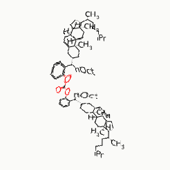 CCCCCCCCC(c1ccccc1OC(=O)Oc1ccccc1C(CCCCCCCC)[C@H]1CC[C@@]2(C)C(=CC[C@H]3[C@@H]4CC[C@H]([C@H](C)CCCC(C)C)[C@@]4(C)CC[C@@H]32)C1)[C@H]1CC[C@@]2(C)C(=CC[C@H]3[C@@H]4CC[C@H]([C@H](C)CCCC(C)C)[C@@]4(C)CC[C@@H]32)C1